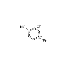 CC[n+]1ccc(C#N)cc1.[Cl-]